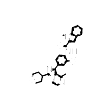 COc1cc(-c2nc(C3CCOCC3)n3ccnc(C)c23)ccc1NC(=O)c1cc2ccccc2n1C